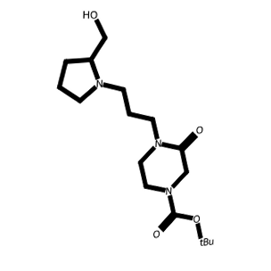 CC(C)(C)OC(=O)N1CCN(CCCN2CCCC2CO)C(=O)C1